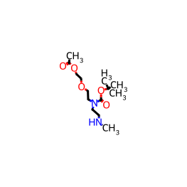 CNCCN(CCOCCOC(C)=O)C(=O)OC(C)(C)C